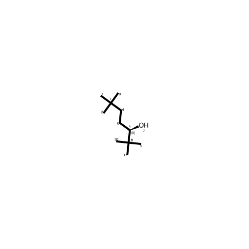 CC(C)(C)CC[C@@H](O)C(C)(C)C